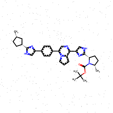 C[C@H]1CC[C@@H](c2nc(-c3ccc(-c4cnc(-c5c[nH]c([C@@H]6CC[C@H](C)N6C(=O)OC(C)(C)C)n5)c5cccn45)cc3)c[nH]2)C1